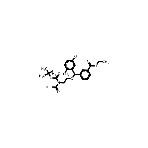 CCOC(=O)c1cccc(C(OCCN(C(C)=O)C(=O)OC(C)(C)C)c2cc(Cl)ccc2C)c1